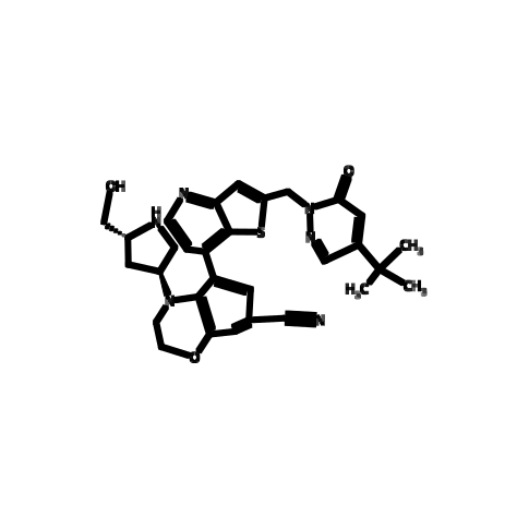 CC(C)(C)c1cnn(Cc2cc3nccc(-c4cc(C#N)cc5c4N([C@@H]4CN[C@@H](CO)C4)CCO5)c3s2)c(=O)c1